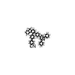 CC1(C)c2ccccc2-c2c1ccc(-c1ccc(-c3cc(-c4ccccc4)nc(-c4ccccc4)n3)cc1)c2-c1ccc(-c2ccc(C#N)cc2)cc1